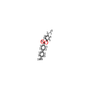 CCCc1ccc(OC(=O)C2CCC(C3CCC(CC)CC3)CC2)cc1